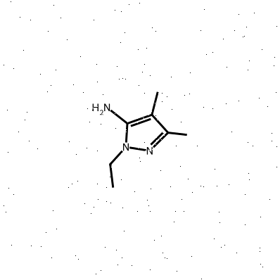 CCn1nc(C)c(C)c1N